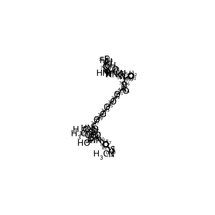 Cc1ncsc1-c1ccc(CNC(=O)[C@@H]2C[C@@H](O)CN2C(=O)C(NC(=O)CCOCCOCCOCCOCCOCCC(=O)N2CC(C(c3ccccc3)n3cc(NC(=O)c4n[nH]c5c4C[C@@H]4C(F)(F)[C@]4(C)C5)cn3)C2)C(C)(C)C)cc1